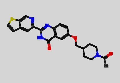 CCC(=O)N1CCC(COc2ccc3nc(-c4cc5ccsc5cn4)[nH]c(=O)c3c2)CC1